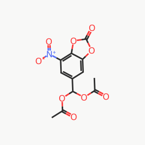 CC(=O)OC(OC(C)=O)c1cc([N+](=O)[O-])c2oc(=O)oc2c1